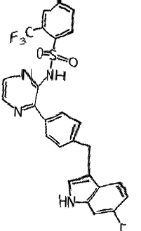 O=S(=O)(Nc1nccnc1-c1ccc(Cc2c[nH]c3cc(F)ccc23)cc1)c1ccccc1C(F)(F)F